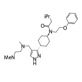 CNCCN(C)Cc1c[nH]nc1[C@H]1CC[C@H](N(CCOc2ccccc2)C(=O)CC(C)C)CC1